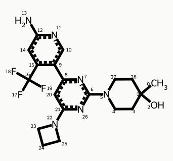 CC1(O)CCN(c2nc(-c3cnc(N)cc3C(F)(F)F)cc(N3CCC3)n2)CC1